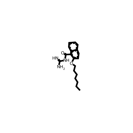 CCCCCCCOc1ccc2ccccc2c1C(=O)NC(=N)N